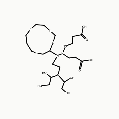 O=C(O)CCNN(CCC(=O)O)N(CCN(C(O)CO)C(O)CO)C1CCCCCCCCCCC1